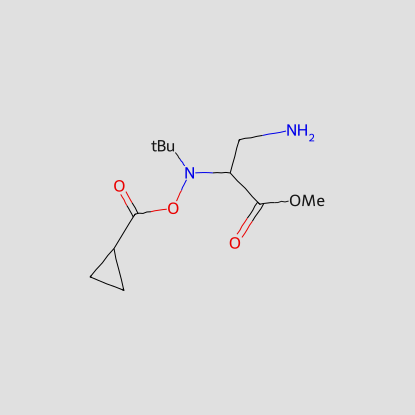 COC(=O)C(CN)N(OC(=O)C1CC1)C(C)(C)C